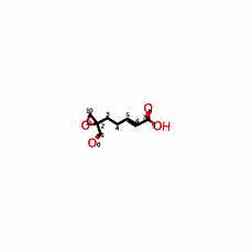 O=CC1(CCC=CC(=O)O)CO1